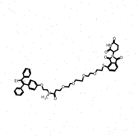 CC/C(=C(\c1ccccc1)c1ccc(OCCN(C)C(=O)CCOCCOCCOCCOCCSc2cccc3c2C(=O)N(C2CCC(=O)NC2=O)C3=O)cc1)c1ccccc1